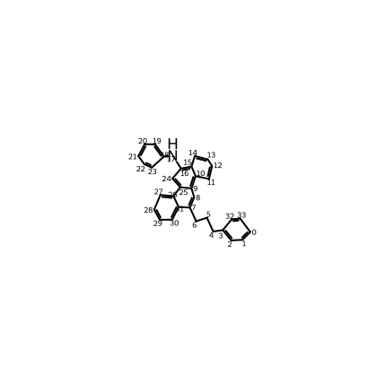 c1ccc(CCCc2cc3c4ccccc4c(Nc4ccccc4)cc3c3ccccc23)cc1